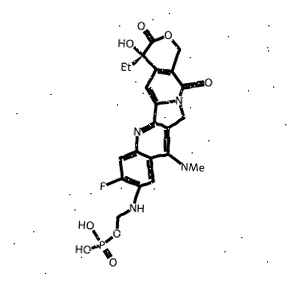 CC[C@@]1(O)C(=O)OCc2c1cc1n(c2=O)Cc2c-1nc1cc(F)c(NCOP(=O)(O)O)cc1c2NC